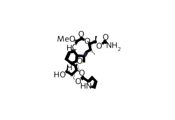 CO[C@H]1C[C@H]2C=C[C@@H]3C[C@]2(O[C@H]3[C@H](OC(=O)c2ccc[nH]2)[C@H](C)[C@H](C)O)/C(C)=C/[C@@H](C)[C@@H]([C@@H](C)OC(N)=O)OC1=O